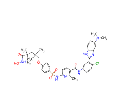 Cc1nc(NS(=O)(=O)c2ccc(OCC(C)(C)CC(C)(C)C(=O)NO)cc2)ccc1C(=O)Nc1ccc(Cl)c(-c2nc3cc(N(C)C)ccc3[nH]2)c1